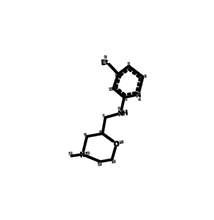 CCc1ccnc(NCC2CN(C)CCO2)c1